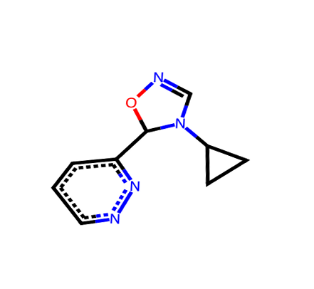 C1=NOC(c2cccnn2)N1C1CC1